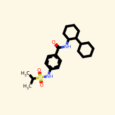 CC(C)S(=O)(=O)Nc1ccc(C(=O)NC2CCCCC2C2CCCCC2)cc1